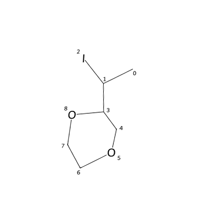 CC(I)C1COCCO1